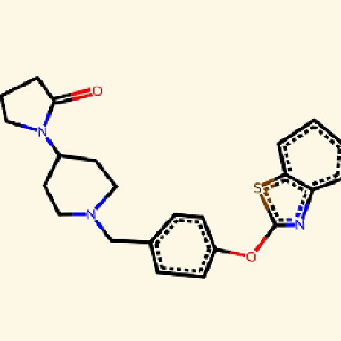 O=C1CCCN1C1CCN(Cc2ccc(Oc3nc4ccccc4s3)cc2)CC1